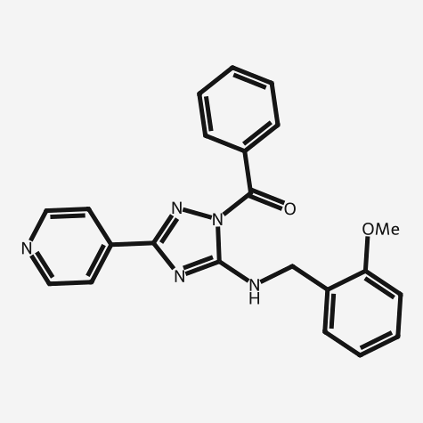 COc1ccccc1CNc1nc(-c2ccncc2)nn1C(=O)c1ccccc1